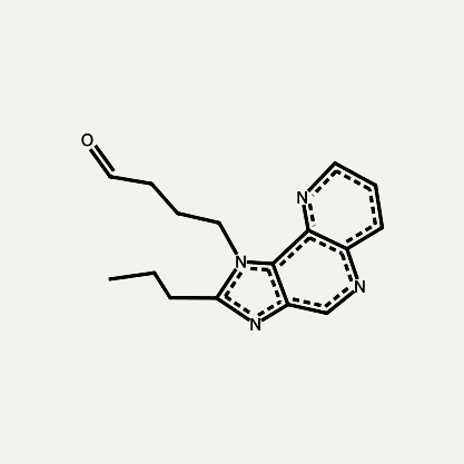 CCCc1nc2cnc3cccnc3c2n1CCCC=O